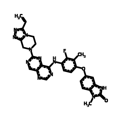 C=Cc1nnc2n1CCN(c1ncc3ncnc(Nc4ccc(Oc5ccc6c(c5)[nH]c(=O)n6C)c(C)c4F)c3n1)C2